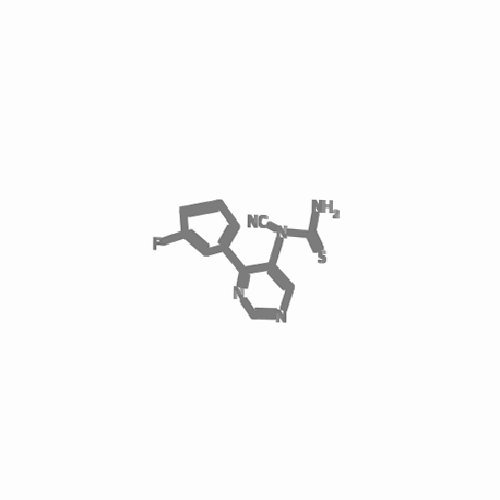 N#CN(C(N)=S)c1cncnc1-c1cccc(F)c1